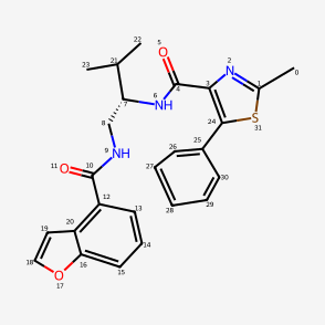 Cc1nc(C(=O)N[C@H](CNC(=O)c2cccc3occc23)C(C)C)c(-c2ccccc2)s1